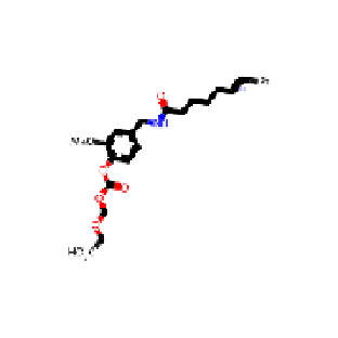 COc1cc(CNC(=O)CCCC/C=C/C(C)C)ccc1OC(=O)OCOCC(=O)O